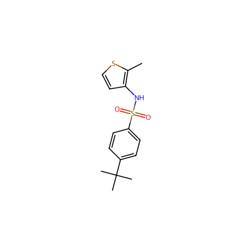 Cc1sccc1NS(=O)(=O)c1ccc(C(C)(C)C)cc1